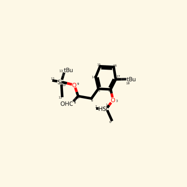 C[SiH](C)Oc1c(CC(C=O)O[Si](C)(C)C(C)(C)C)cccc1C(C)(C)C